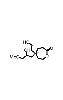 COCC(O)C[N+]1(CCO)CCOC(=O)CC1